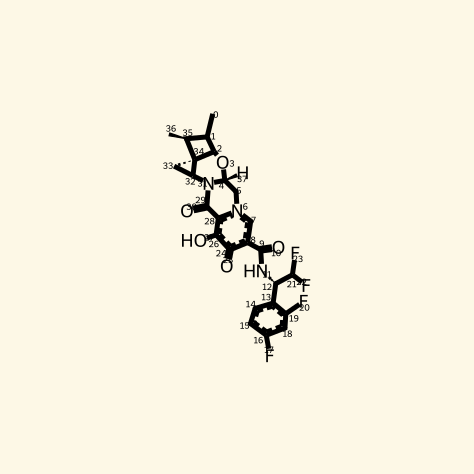 CC1C2O[C@@H]3Cn4cc(C(=O)N[C@@H](c5ccc(F)cc5F)C(F)F)c(=O)c(O)c4C(=O)N3C3C[C@]23[C@H]1C